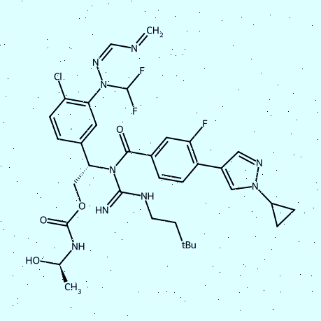 C=N/C=N\N(c1cc([C@@H](COC(=O)N[C@@H](C)O)N(C(=N)NCCC(C)(C)C)C(=O)c2ccc(-c3cnn(C4CC4)c3)c(F)c2)ccc1Cl)C(F)F